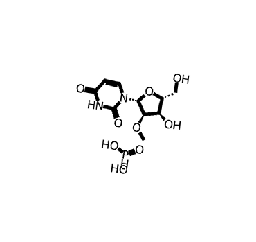 CO[C@@H]1[C@H](O)[C@@H](CO)O[C@H]1n1ccc(=O)[nH]c1=O.O=[PH](O)O